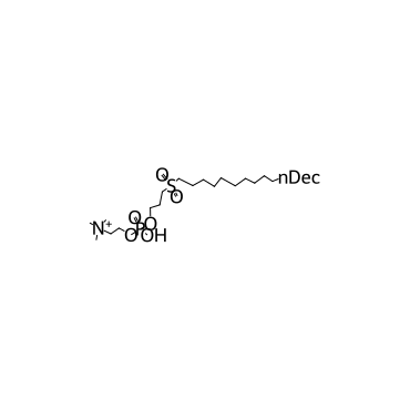 CCCCCCCCCCCCCCCCCCCCS(=O)(=O)CCCOP(=O)(O)OCC[N+](C)(C)C